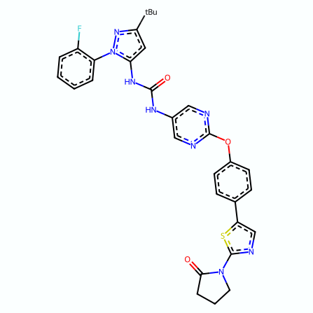 CC(C)(C)c1cc(NC(=O)Nc2cnc(Oc3ccc(-c4cnc(N5CCCC5=O)s4)cc3)nc2)n(-c2ccccc2F)n1